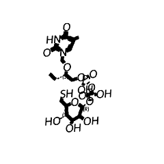 CC[C@@H](COP(=O)(O)OP(=O)(O)O[C@H]1OC(CS)[C@@H](O)C(O)C1O)OCn1cc(C)c(=O)[nH]c1=O